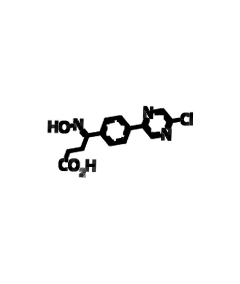 O=C(O)CC/C(=N\O)c1ccc(-c2cnc(Cl)cn2)cc1